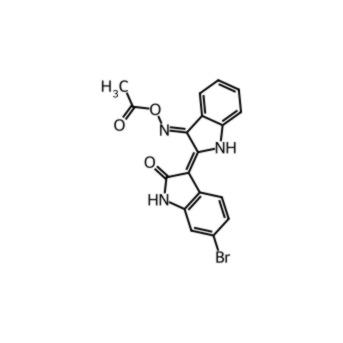 CC(=O)ON=C1C(=C2C(=O)Nc3cc(Br)ccc32)Nc2ccccc21